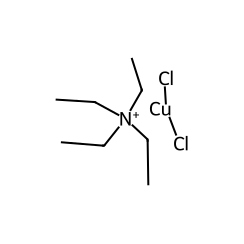 CC[N+](CC)(CC)CC.[Cl][Cu][Cl]